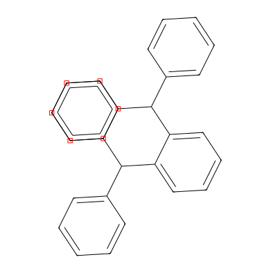 c1ccc(C(c2ccccc2)c2ccccc2C(c2ccccc2)c2ccccc2)cc1